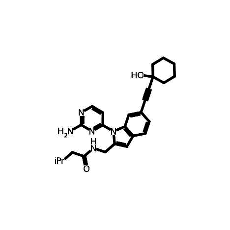 CC(C)CC(=O)NCc1cc2ccc(C#CC3(O)CCCCC3)cc2n1-c1ccnc(N)n1